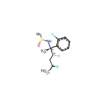 CC(C)(C)[S+]([O-])N[C@](C)(c1ccccc1F)[C@H](F)CC(F)C(=O)O